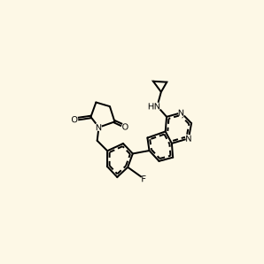 O=C1CCC(=O)N1Cc1ccc(F)c(-c2ccc3ncnc(NC4CC4)c3c2)c1